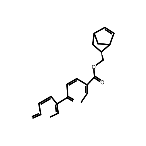 C=C/C=C\C(=C/C)C(=C)/C=C\C(=C/C)C(=O)OC[C@H]1CC2C=CC1C2